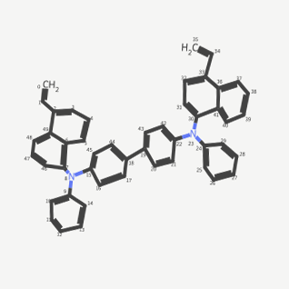 C=Cc1cccc2c(N(c3ccccc3)c3ccc(-c4ccc(N(c5ccccc5)c5ccc(C=C)c6ccccc56)cc4)cc3)cccc12